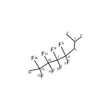 CC(C)CC(F)(F)C(F)(F)C(F)(F)C(C)(F)F